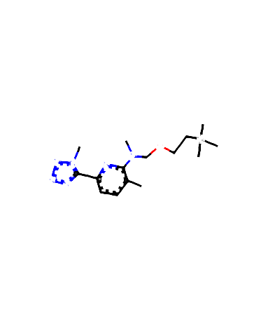 Cc1ccc(-c2nnnn2C)nc1N(C)COCC[Si](C)(C)C